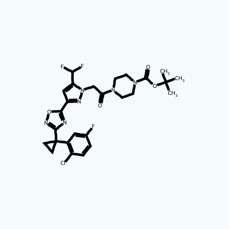 CC(C)(C)OC(=O)N1CCN(C(=O)Cn2nc(-c3nc(C4(c5cc(F)ccc5Cl)CC4)no3)cc2C(F)F)CC1